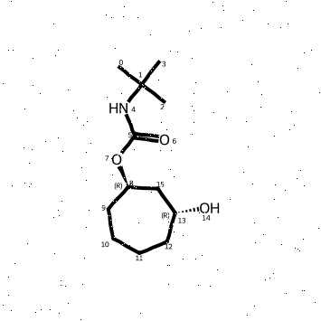 CC(C)(C)NC(=O)O[C@@H]1CCCC[C@@H](O)C1